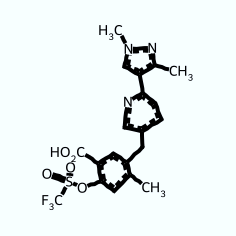 Cc1cc(OS(=O)(=O)C(F)(F)F)c(C(=O)O)cc1Cc1ccc(-c2cn(C)nc2C)nc1